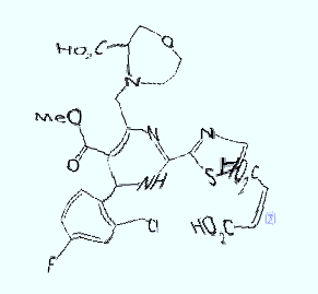 COC(=O)C1=C(CN2CCOCC2C(=O)O)N=C(c2nccs2)NC1c1ccc(F)cc1Cl.O=C(O)/C=C\C(=O)O